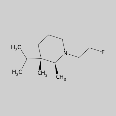 CC(C)[C@]1(C)CCCN(CCF)[C@H]1C